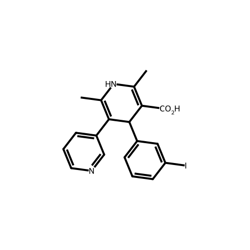 CC1=C(C(=O)O)C(c2cccc(I)c2)C(c2cccnc2)=C(C)N1